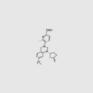 COc1ccc(N2Cc3ccc(C(F)(F)F)cc3N([C@@H]3CC[C@@H](F)C3)C2)c(C)n1